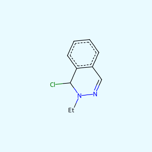 CCN1N=Cc2ccccc2C1Cl